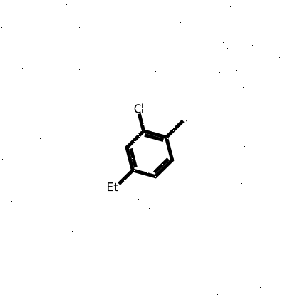 [CH2]c1ccc(CC)cc1Cl